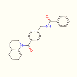 O=C(NCc1ccc(C(=O)N2CCCC3CCCC=C32)cc1)c1ccccc1